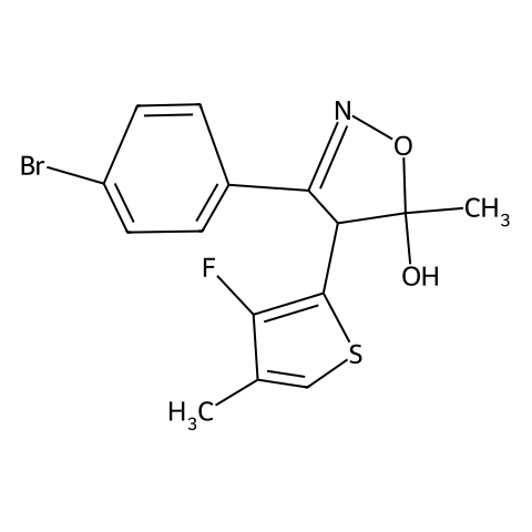 Cc1csc(C2C(c3ccc(Br)cc3)=NOC2(C)O)c1F